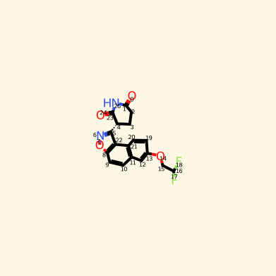 O=C1CC[C@H](c2noc3ccc4cc(OCC(F)F)ccc4c23)C(=O)N1